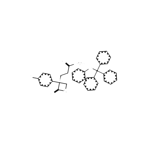 COC(=O)CC[C@]1(c2ccc(F)cc2)C(=O)N[C@H]1c1ccc(OC(c2ccccc2)(c2ccccc2)c2ccccc2)cc1